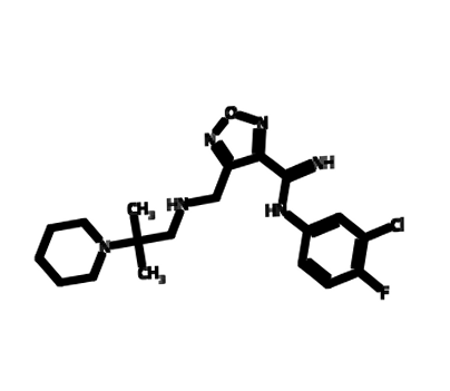 CC(C)(CNCc1nonc1C(=N)Nc1ccc(F)c(Cl)c1)N1CCCCC1